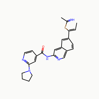 C/C=C(\SC(C)=N)c1ccc2cnc(NC(=O)c3ccnc(N4CCCC4)c3)cc2c1